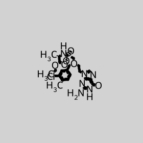 CCOC(=O)[C@H](C)NP(=O)(COCCn1cnc2c(=O)[nH]c(N)nc21)OCc1ccc(C)c(Cl)c1